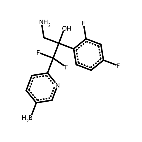 Bc1ccc(C(F)(F)C(O)(CN)c2ccc(F)cc2F)nc1